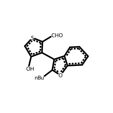 CCCCc1oc2ccccc2c1-c1c(O)csc1C=O